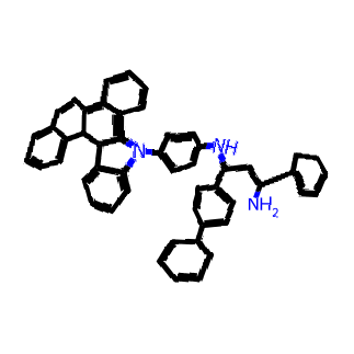 NC(CC(Nc1ccc(N2C3=c4ccccc4=C4C=Cc5ccccc5C4C3c3ccccc32)cc1)c1ccc(C2C=CC=CC2)cc1)C1=CC=CCC1